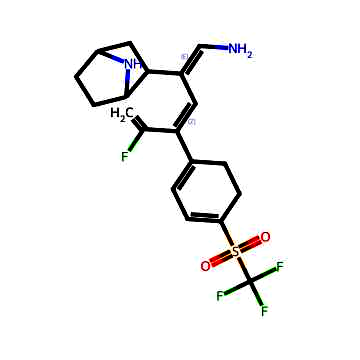 C=C(F)/C(=C\C(=C/N)C1CC2CCC1N2)C1=CC=C(S(=O)(=O)C(F)(F)F)CC1